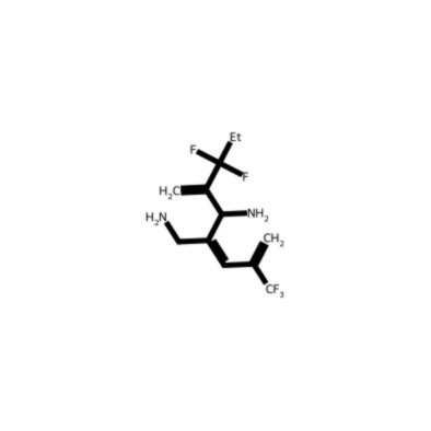 C=C(/C=C(/CN)C(N)C(=C)C(F)(F)CC)C(F)(F)F